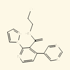 O=C(NCCO)c1c(-c2cncnc2)ccnc1-n1cccn1